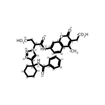 Cc1c(CC(=O)O)c(=O)oc2cc(NC(=O)C(CC(=O)O)n3cc(C4(NC(=O)c5ccccc5)CCCCC4)nn3)ccc12